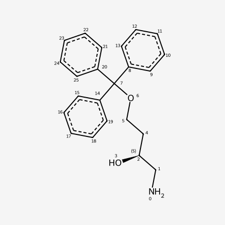 NC[C@@H](O)CCOC(c1ccccc1)(c1ccccc1)c1ccccc1